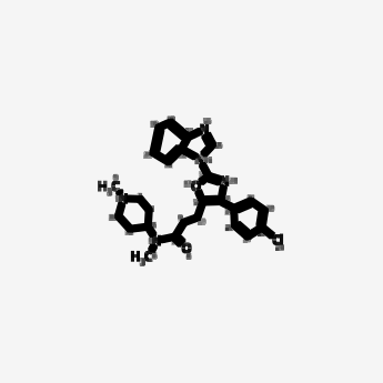 CN1CCC(N(C)C(=O)CCc2oc(-n3cnc4ccccc43)nc2-c2ccc(Cl)cc2)CC1